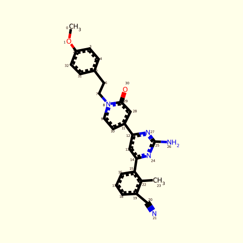 COc1ccc(CCn2ccc(-c3cc(-c4cccc(C#N)c4C)nc(N)n3)cc2=O)cc1